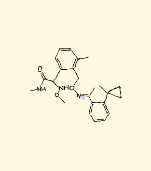 CNC(=O)C(NOC)c1cccc(C)c1CO/N=C(\C)c1ccccc1C1(C)CC1